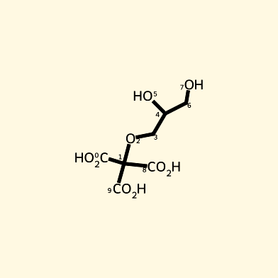 O=C(O)C(OCC(O)CO)(C(=O)O)C(=O)O